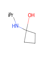 CC(C)NC1(O)CCC1